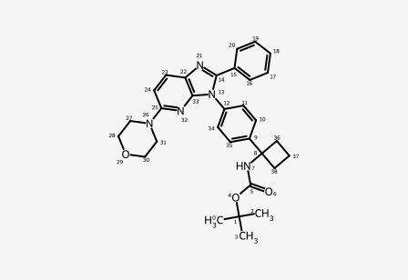 CC(C)(C)OC(=O)NC1(c2ccc(-n3c(-c4ccccc4)nc4ccc(N5CCOCC5)nc43)cc2)CCC1